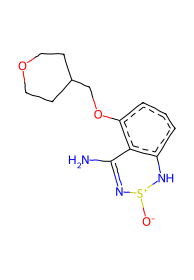 NC1=N[S+]([O-])Nc2cccc(OCC3CCOCC3)c21